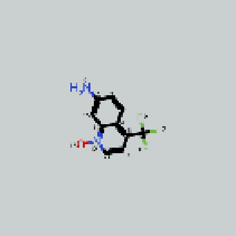 Nc1ccc2c(C(F)(F)F)cc[n+]([O-])c2c1